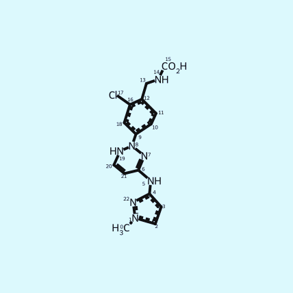 Cn1ccc(NC2=NN(c3ccc(CNC(=O)O)c(Cl)c3)NC=C2)n1